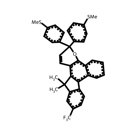 CSc1ccc(C2(c3ccc(SC)cc3)C=Cc3c4c(c5ccccc5c3O2)-c2ccc(C(F)(F)F)cc2C4(C)C)cc1